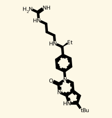 CC[C@H](NCCCNC(=N)N)c1ccc(-n2cc3cc(C(C)(C)C)[nH]c3nc2=O)cc1